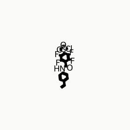 C=Cc1ccc(NC(=O)c2c(F)c(F)c(S(=O)(=O)Cl)c(F)c2F)cc1